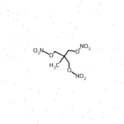 CC(CO[N+](=O)[O-])(CO[N+](=O)[O-])CO[N+](=O)[O-]